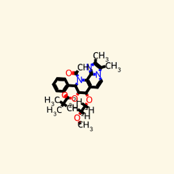 [2H]C([2H])(OC)C([2H])([2H])OC1c2ccn3c(C)c(C)nc3c2N(C(C)=O)C(c2ccccc2)C1OC(=O)C(C)(C)C